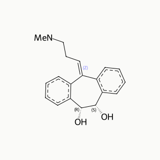 CNCC/C=C1\c2ccccc2[C@@H](O)[C@@H](O)c2ccccc21